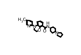 Cc1ccc(N2CCOc3c(C(=O)N[C@H]4CC[C@H](N5CCCC5)CC4)cccc32)nc1